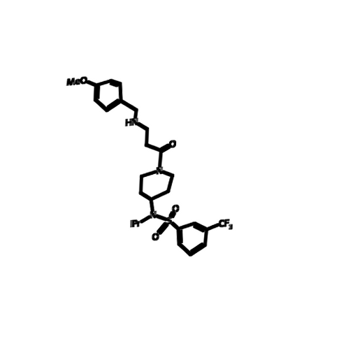 COc1ccc(CNCCC(=O)N2CCC(N(C(C)C)S(=O)(=O)c3cccc(C(F)(F)F)c3)CC2)cc1